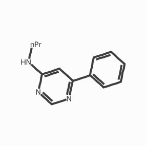 CCCNc1cc(-c2ccccc2)ncn1